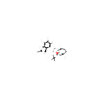 CC(C)(C)OC(=O)N1[C@H]2CC[C@@H]1[C@@H](COc1c(F)c(Br)c(F)c3nc(Cl)nc(O)c13)NC2